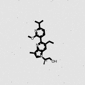 CCc1cc2c(nc1-c1ccc(C(C)C)nc1OC)c(C)cn2[C@H](C)CO